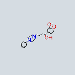 OC(CCCN1CCN(c2ccccc2)CC1)c1ccc2c(c1)OCO2